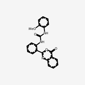 COc1ccccc1NC(=O)Nc1ccccc1-c1nc2ccccc2c(=O)o1